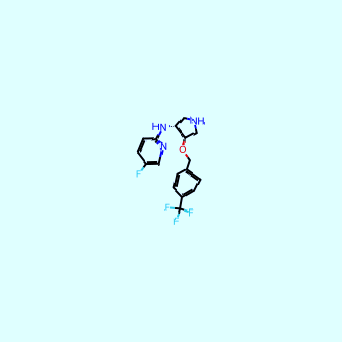 Fc1ccc(N[C@@H]2CNC[C@H]2OCc2ccc(C(F)(F)F)cc2)nc1